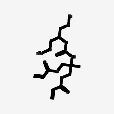 C=CC(=O)OCC(C)(COC(=O)C=C)NC(=O)OC(COCC)COCCCC